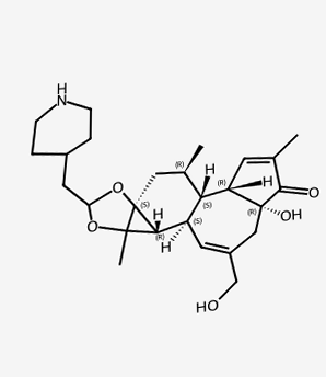 CC1=C[C@H]2[C@@H]3[C@@H](C=C(CO)C[C@]2(O)C1=O)[C@@H]1C2(C)OC(CC4CCNCC4)O[C@@]12C[C@H]3C